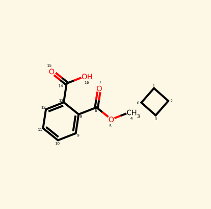 C1CCC1.COC(=O)c1ccccc1C(=O)O